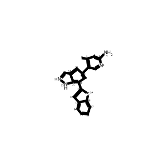 Cc1cc(N)ncc1-c1cc(-c2cc3ccccc3s2)c2[nH]ncc2c1